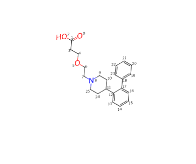 O=C(O)CCOCCN1CCC(c2ccccc2-c2ccccc2)CC1